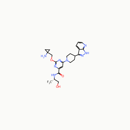 NC1(COc2nc(C(=O)N[C@H](CO)C(F)(F)F)cc(N3CCC(c4n[nH]c5ncccc45)CC3)n2)CC1